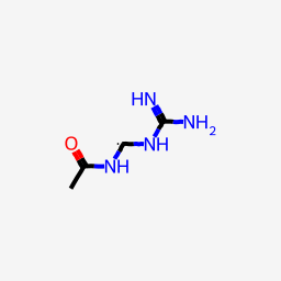 CC(=O)N[CH]NC(=N)N